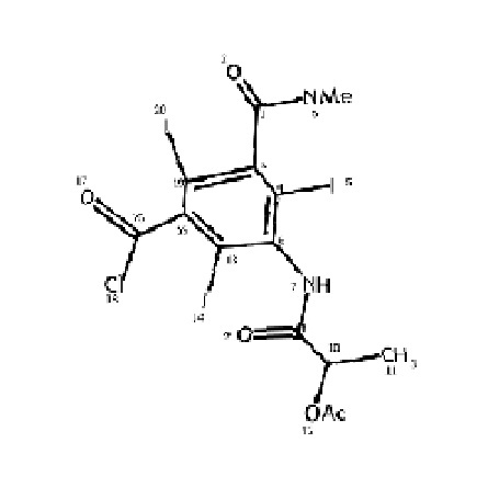 CNC(=O)c1c(I)c(NC(=O)C(C)OC(C)=O)c(I)c(C(=O)Cl)c1I